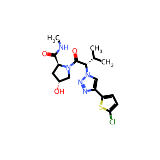 CNC(=O)[C@@H]1C[C@@H](O)CN1C(=O)[C@H](C(C)C)n1cc(-c2ccc(Cl)s2)nn1